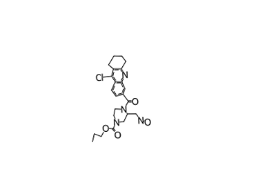 CCCOC(=O)N1CCN(C(=O)c2ccc3c(Cl)c4c(nc3c2)CCCC4)C(CN=O)C1